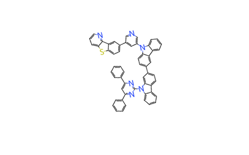 c1ccc(-c2cc(-c3ccccc3)nc(-n3c4ccccc4c4ccc(-c5ccc6c(c5)c5ccccc5n6-c5cncc(-c6ccc7sc8cccnc8c7c6)c5)cc43)n2)cc1